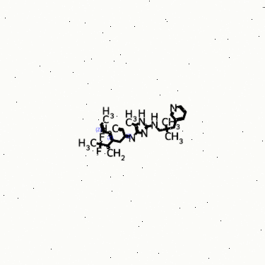 C=C/C(C/C(=C/C=C\C)C(=C)C(C)(F)F)=N\c1nc(NCC(C)(C)Cc2cccnc2)[nH]c1C